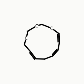 [CH]1CCC=CCC=CC=CCCC1